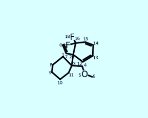 C=CC1(C2(COC)CCCCC2)C=CC=CC1(F)F